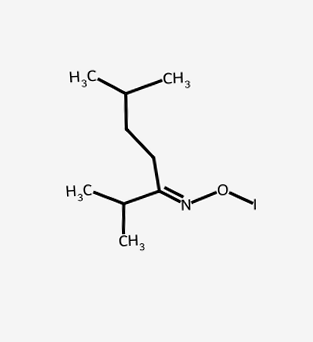 CC(C)CC/C(=N\OI)C(C)C